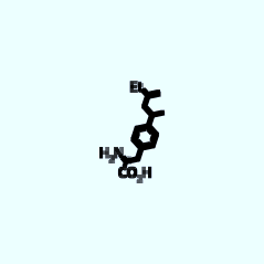 C=C(CC)CC(C)c1ccc(C[C@H](N)C(=O)O)cc1